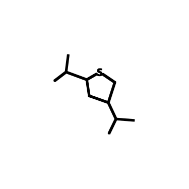 CC(C)C1CSC(C(C)C)C1